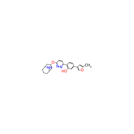 Cc1cc(-c2ccc(-c3ccc(OC4CC5CCCC(C4)N5)nn3)c(O)c2)co1